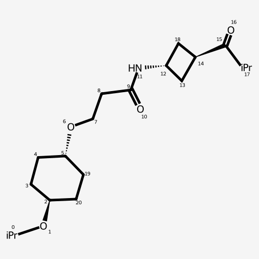 CC(C)O[C@H]1CC[C@H](OCCC(=O)N[C@H]2C[C@H](C(=O)C(C)C)C2)CC1